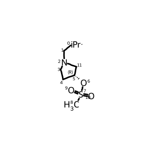 C[C](C)CN1CC[C@@H](OS(C)(=O)=O)C1